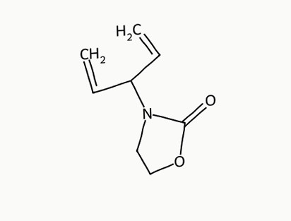 C=CC(C=C)N1CCOC1=O